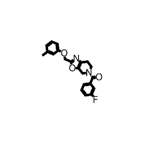 Cc1cccc(OCc2nc3c(o2)CN(C(=O)c2cccc(F)c2)CC3)c1